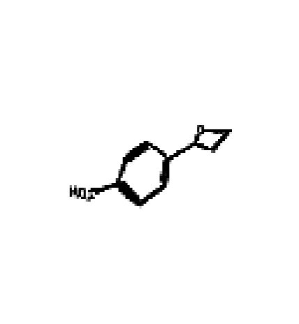 O=C(O)c1ccc(C2CCO2)cc1